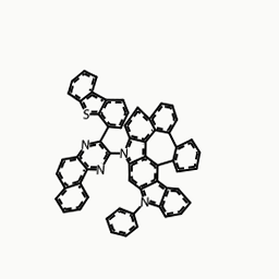 c1ccc(-n2c3ccccc3c3c4c5c6c7c(cccc7ccc6n(-c6nc7c(ccc8ccccc87)nc6-c6cccc7c6sc6ccccc67)c5cc32)-c2ccccc2-4)cc1